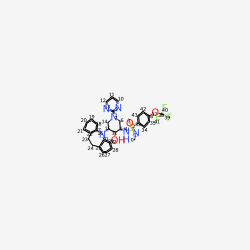 CN=S(=O)(NC1CN(c2ncccn2)CC(N2c3ccccc3CCc3ccccc32)C1O)c1ccc(OC(F)(F)F)cc1